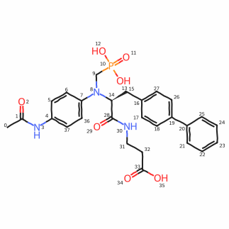 CC(=O)Nc1ccc(N(CP(=O)(O)O)[C@@H](Cc2ccc(-c3ccccc3)cc2)C(=O)NCCC(=O)O)cc1